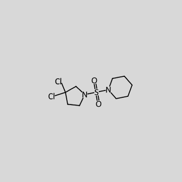 O=S(=O)(N1CCCCC1)N1CCC(Cl)(Cl)C1